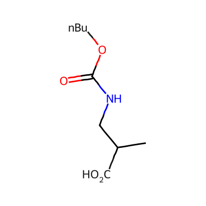 CCCCOC(=O)NCC(C)C(=O)O